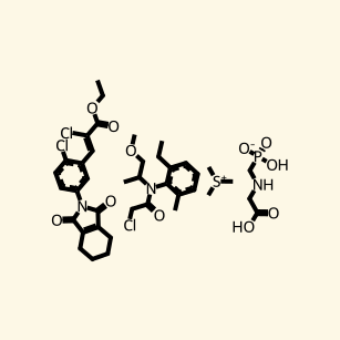 CCOC(=O)/C(Cl)=C/c1cc(N2C(=O)C3=C(CCCC3)C2=O)ccc1Cl.CCc1cccc(C)c1N(C(=O)CCl)C(C)COC.C[S+](C)C.O=C(O)CNCP(=O)([O-])O